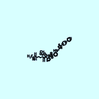 COC(=O)[C@H](CCCNC(C)=N)NC(=O)c1sccc1NS(=O)(=O)c1cccc(NCc2csc(N3CCN(c4ccncc4)CC3)n2)c1